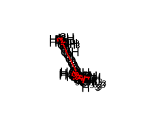 CC[C@H](C)[C@@H]([C@@H](CC(=O)N1CCC[C@H]1[C@H](OC)[C@@H](C)C(=O)N[C@H](C)[C@@H](OC(=O)c1ccc(NC(=O)CCOCCOCCOCCOCCOCCOCCOCCOCCNC(=O)CCOCCOCCNC(=O)[C@H](CS(=O)(=O)O)NC(=O)CCn2c(CN(C)NC)cc3cccnc32)cc1O[C@@H]1O[C@H](C(=O)O)[C@@H](O)[C@H](O)[C@H]1O)c1ccccc1)OC)N(C)C(=O)[C@@H](NC(=O)[C@@H](NC)C(C)C)C(C)C